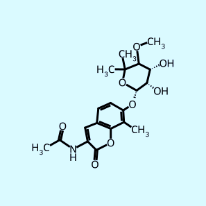 COC1[C@H](O)[C@H](O)[C@H](Oc2ccc3cc(NC(C)=O)c(=O)oc3c2C)OC1(C)C